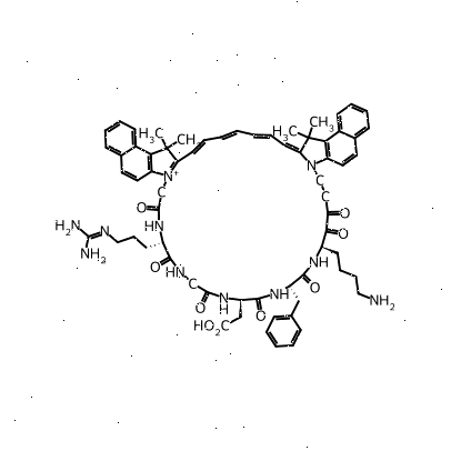 CC1(C)C2=[N+](CC(=O)N[C@@H](CCCN=C(N)N)C(=O)NCC(=O)N[C@H](CC(=O)O)C(=O)N[C@@H](Cc3ccccc3)C(=O)N[C@H](CCCCN)C(=O)C(=O)CCN3/C(=C/C=C/C=C/C=C/2)C(C)(C)c2c3ccc3ccccc23)c2ccc3ccccc3c21